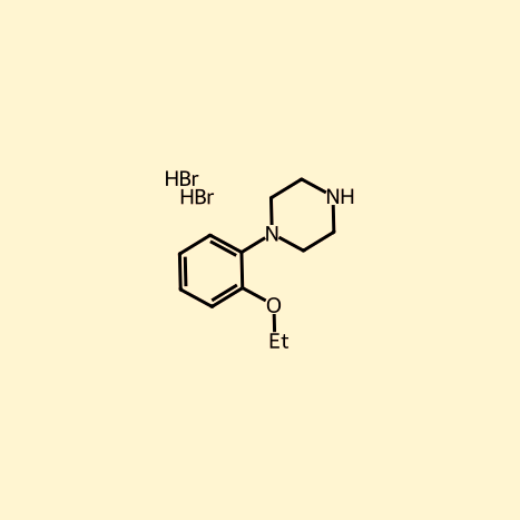 Br.Br.CCOc1ccccc1N1CCNCC1